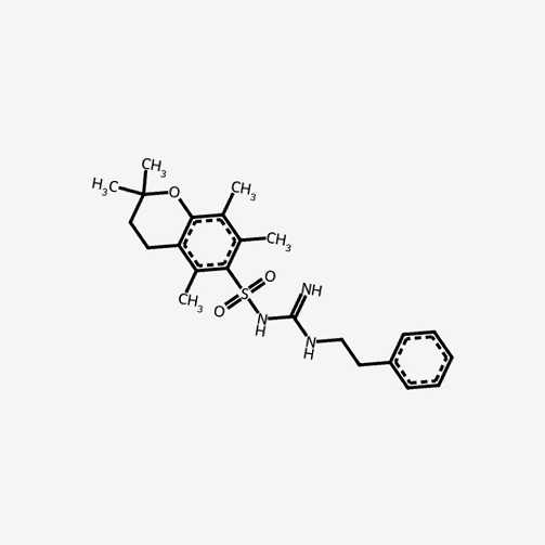 Cc1c(C)c(S(=O)(=O)NC(=N)NCCc2ccccc2)c(C)c2c1OC(C)(C)CC2